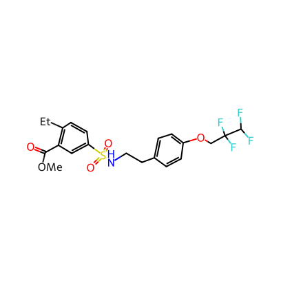 CCc1ccc(S(=O)(=O)NCCc2ccc(OCC(F)(F)C(F)F)cc2)cc1C(=O)OC